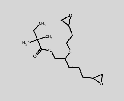 CCC(C)(C)C(=O)OCC(CCCC1CO1)OCCC1CO1